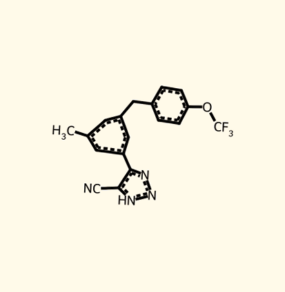 Cc1cc(Cc2ccc(OC(F)(F)F)cc2)cc(-c2nn[nH]c2C#N)c1